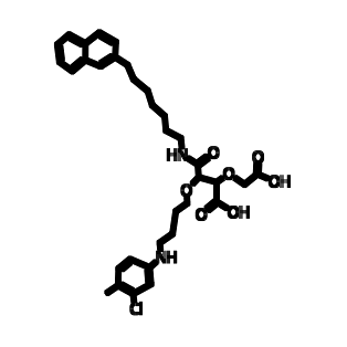 Cc1ccc(NCCCCOC(C(=O)NCCCCCCCc2ccc3ccccc3c2)C(OCC(=O)O)C(=O)O)cc1Cl